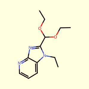 CCOC(OCC)c1nc2ncccc2n1CC